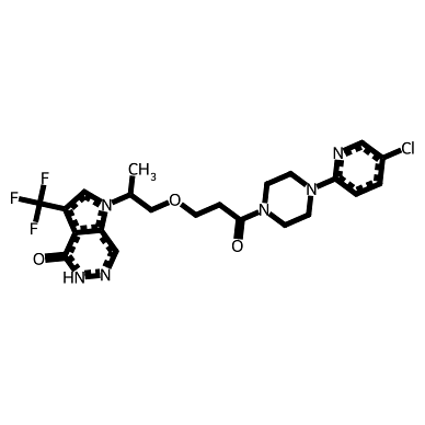 CC(COCCC(=O)N1CCN(c2ccc(Cl)cn2)CC1)n1cc(C(F)(F)F)c2c(=O)[nH]ncc21